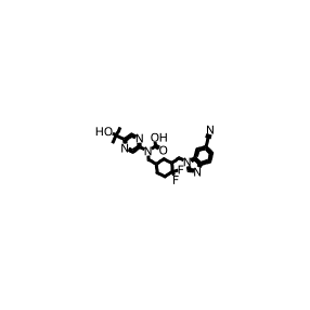 CC(C)(O)c1cnc(N(CC2CCC(F)(F)C(Cn3cnc4ccc(C#N)cc43)C2)C(=O)O)cn1